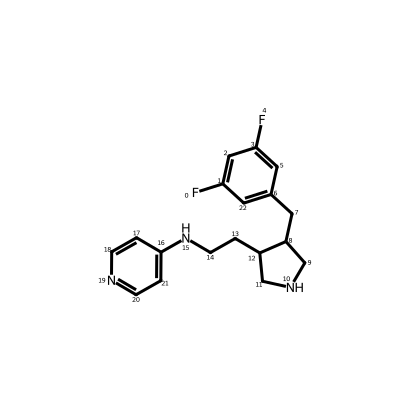 Fc1cc(F)cc(CC2CNCC2CCNc2ccncc2)c1